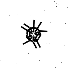 C[C]12[CH]3[C]4(C)[C]5(C)[C]1(C)[V]32451678[CH]2[C]1(C)[C]6(C)[C]7(C)[C]28C